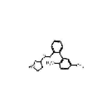 Cc1ccc(C)c(-c2ccccc2COC2CCNC2)c1